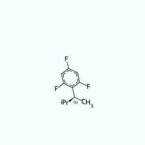 CC(C)[C@H](C)c1c(F)cc(F)cc1F